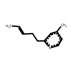 CC=CCCc1cc(C)ccn1